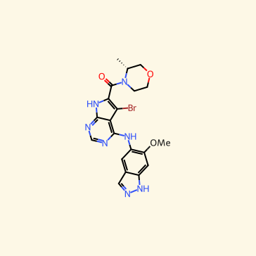 COc1cc2[nH]ncc2cc1Nc1ncnc2[nH]c(C(=O)N3CCOC[C@H]3C)c(Br)c12